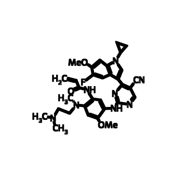 C=CC(=O)Nc1cc(Nc2ncc(C#N)c(-c3cn(C4CC4)c4cc(OC)c(F)cc34)n2)c(OC)cc1N(C)CCN(C)C